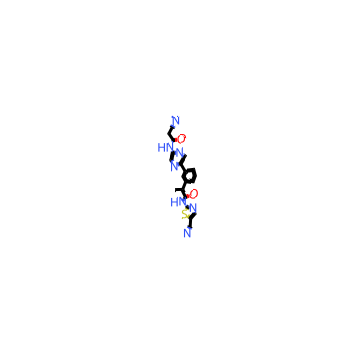 CC(C(=O)Nc1ncc(C#N)s1)c1cccc(-c2cnc(NC(=O)CC#N)cn2)c1